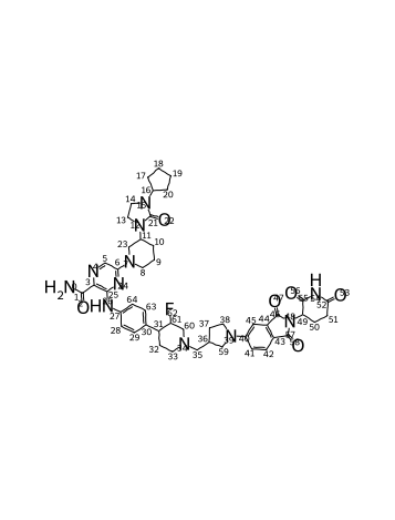 NC(=O)c1ncc(N2CCCC(N3CCN(C4CCCC4)C3=O)C2)nc1Nc1ccc(C2CCN(CC3CCN(c4ccc5c(c4)C(=O)N(C4CCC(=O)NC4=O)C5=O)C3)CC2F)cc1